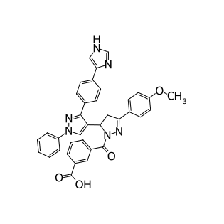 COc1ccc(C2=NN(C(=O)c3cccc(C(=O)O)c3)C(c3cn(-c4ccccc4)nc3-c3ccc(-c4c[nH]cn4)cc3)C2)cc1